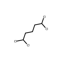 ClC(Cl)CCCC(Cl)Cl